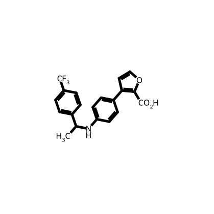 CC(Nc1ccc(-c2ccoc2C(=O)O)cc1)c1ccc(C(F)(F)F)cc1